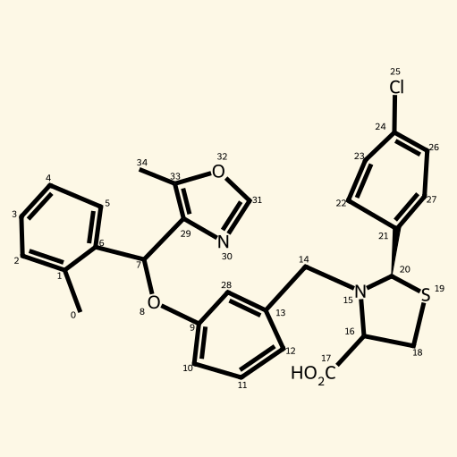 Cc1ccccc1C(Oc1cccc(CN2C(C(=O)O)CS[C@@H]2c2ccc(Cl)cc2)c1)c1ncoc1C